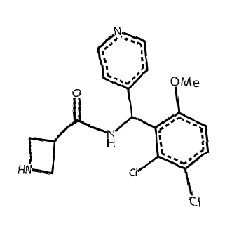 COc1ccc(Cl)c(Cl)c1C(NC(=O)C1CNC1)c1ccncc1